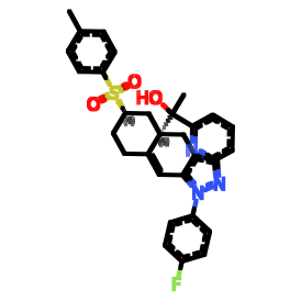 Cc1ccc(S(=O)(=O)[C@@H]2CCC3=Cc4c(cnn4-c4ccc(F)cc4)C[C@]3(C(C)(O)c3ccccn3)C2)cc1